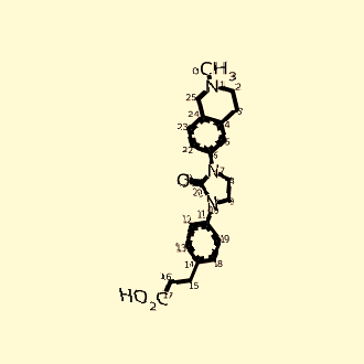 CN1CCc2cc(N3CCN(c4ccc(CCC(=O)O)cc4)C3=O)ccc2C1